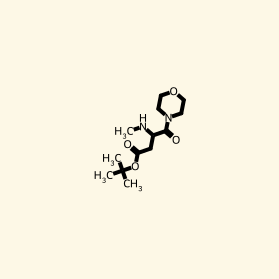 CNC(CC(=O)OC(C)(C)C)C(=O)N1CCOCC1